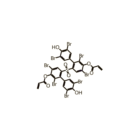 C=CC(=O)Oc1c(Br)cc(S(=O)(=O)c2cc(Br)c(OC(=O)C=C)c(Br)c2-c2cc(Br)c(O)c(Br)c2)c(-c2cc(Br)c(O)c(Br)c2)c1Br